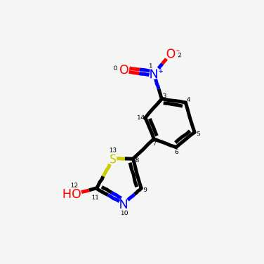 O=[N+]([O-])c1cccc(-c2cnc(O)s2)c1